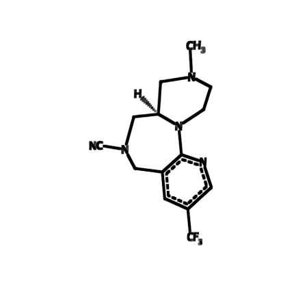 CN1CCN2c3ncc(C(F)(F)F)cc3CN(C#N)C[C@H]2C1